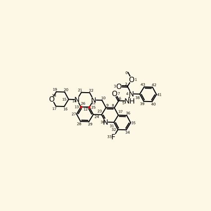 COC(=O)N(NC(=O)c1c(CN2CCN(C3CCOCC3)CC2)c(-c2ccccc2)nc2c(F)cccc12)c1ccccc1